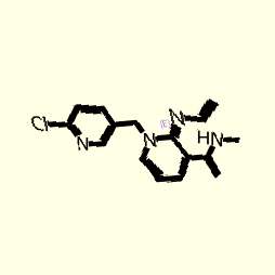 C=C/N=c1\c(C(=C)NC)cccn1Cc1ccc(Cl)nc1